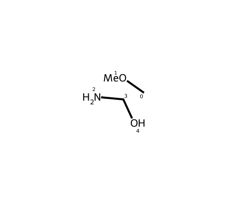 COC.NCO